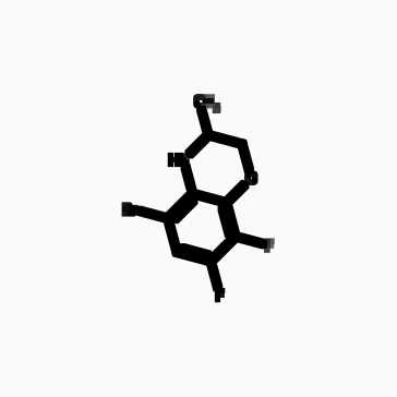 CC1COc2c(F)c(F)cc(Br)c2N1